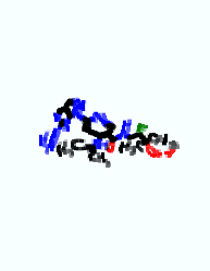 CC(C)Nc1cc(-n2ncc3cnc(N)nc32)ncc1C(=O)NC[C@@H](F)C(C)(C)O